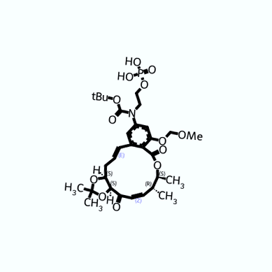 COCOc1cc(N(CCOP(=O)(O)O)C(=O)OC(C)(C)C)cc2c1C(=O)O[C@@H](C)[C@H](C)/C=C\C(=O)[C@H]1OC(C)(C)O[C@H]1C/C=C/2